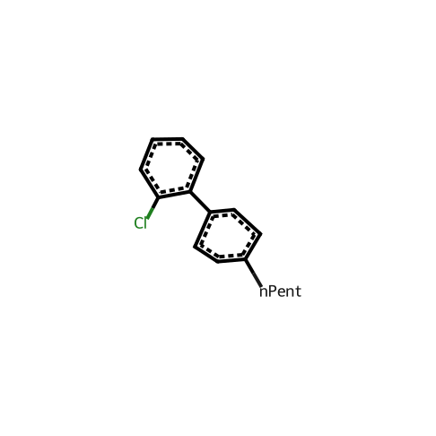 CCCCCc1ccc(-c2ccccc2Cl)cc1